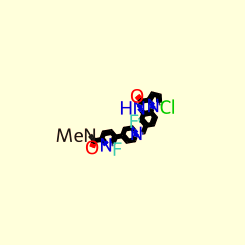 CNC(=O)c1ccc(C2=CCN(Cc3ccc4c([nH]c(=O)c5ccc(Cl)n54)c3F)CC2)c(F)n1